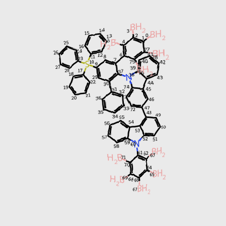 Bc1c(B)c(B)c(-c2cc(S(c3ccccc3)(c3ccccc3)c3ccccc3)cc(-c3ccccc3)c2-n2c3ccccc3c3cc(-c4cccc5c4c4ccccc4n5-c4c(B)c(B)c(B)c(B)c4B)ccc32)c(B)c1B